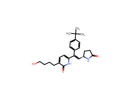 CC(C)(C)c1ccc(/C(=C\[C@H]2CCC(=O)N2)c2ccc(CCCCO)c(=O)[nH]2)cc1